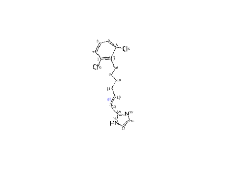 Clc1cccc(Cl)c1CCCC/C=C/c1ncc[nH]1